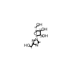 OCc1ncn([C@@H]2O[C@H](CO)C(O)[C@@H]2O)n1